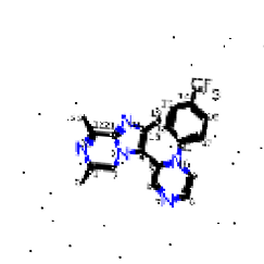 Cc1cn2c(C3C=NC=CN3c3ccc(C(F)(F)F)cc3)c(C)nc2c(C)n1